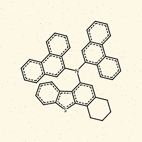 c1ccc2c(c1)cc(N(c1cc3ccccc3c3ccccc13)c1cc3c(c4sc5ccccc5c14)CCCC3)c1ccccc12